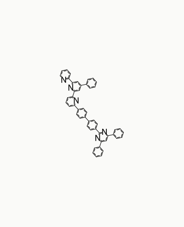 c1ccc(-c2cc(-c3ccccn3)nc(-c3cccc(-c4ccc(-c5ccc(-c6nc(-c7ccccc7)cc(-c7ccccc7)n6)cc5)cc4)n3)c2)cc1